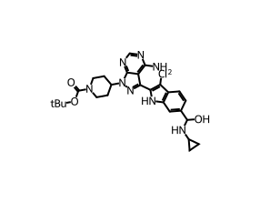 CC(C)(C)OC(=O)N1CCC(n2nc(-c3[nH]c4cc(C(O)NC5CC5)ccc4c3Cl)c3c(N)ncnc32)CC1